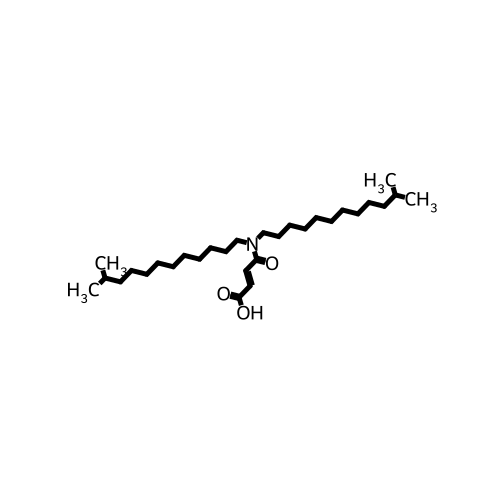 CC(C)CCCCCCCCCCN(CCCCCCCCCCC(C)C)C(=O)C=CC(=O)O